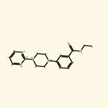 CCOC(=O)c1cccc(N2CCN(c3ncccn3)CC2)c1